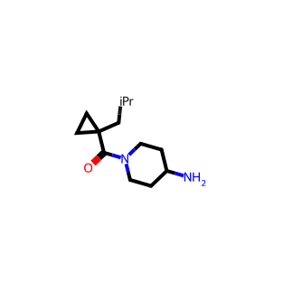 CC(C)CC1(C(=O)N2CCC(N)CC2)CC1